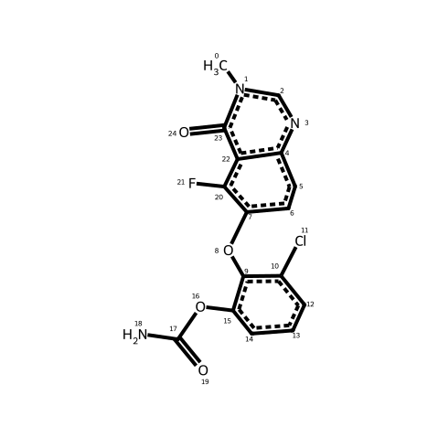 Cn1cnc2ccc(Oc3c(Cl)cccc3OC(N)=O)c(F)c2c1=O